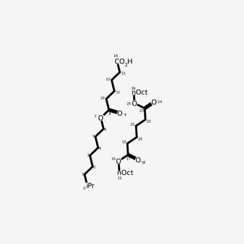 CC(C)CCCCCCOC(=O)CCCCC(=O)O.CCCCCCCCOC(=O)CCCCC(=O)OCCCCCCCC